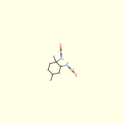 CC1CCC(C)(N=C=O)C(N=C=O)C1